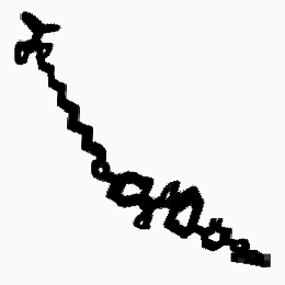 C=C(C)C(=O)OCCCCCCCCCCOc1ccc(C(=O)Oc2ccc(-c3ccc(OCCCC)cn3)cc2)cc1